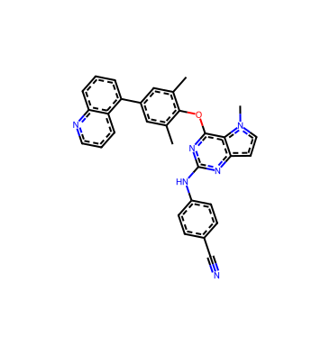 Cc1cc(-c2cccc3ncccc23)cc(C)c1Oc1nc(Nc2ccc(C#N)cc2)nc2ccn(C)c12